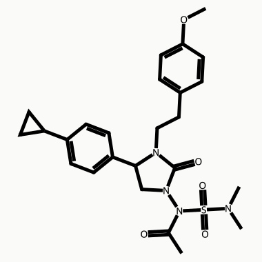 COc1ccc(CCN2C(=O)N(N(C(C)=O)S(=O)(=O)N(C)C)CC2c2ccc(C3CC3)cc2)cc1